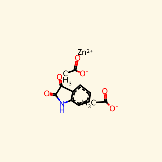 CC(=O)[O-].CC(=O)[O-].O=C1Nc2ccccc2C1=O.[Zn+2]